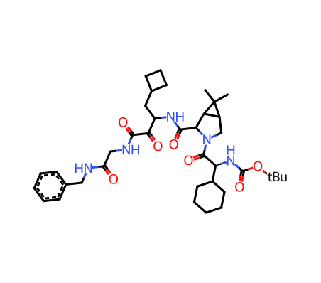 CC(C)(C)OC(=O)N[C@H](C(=O)N1CC2C(C1C(=O)NC(CC1CCC1)C(=O)C(=O)NCC(=O)NCc1ccccc1)C2(C)C)C1CCCCC1